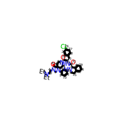 CCN(CC)CCN1CN(c2ccccc2)C2(CCN(C(=O)[C@@H](Cc3ccc(Cl)cc3)NC(=O)[C@@H]3NCCc4ccccc43)CC2)C1=O